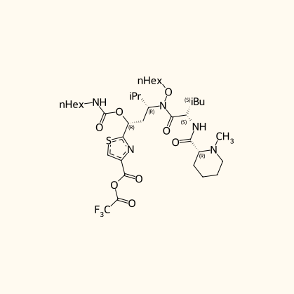 CCCCCCNC(=O)O[C@H](C[C@H](C(C)C)N(OCCCCCC)C(=O)[C@@H](NC(=O)[C@H]1CCCCN1C)[C@@H](C)CC)c1nc(C(=O)OC(=O)C(F)(F)F)cs1